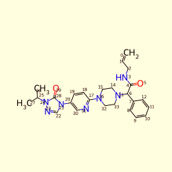 C=CCNC(=O)C(c1ccccc1)N1CCN(c2ccc(-n3cnn(C(C)C)c3=O)cn2)CC1